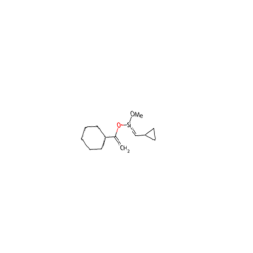 C=C(O[Si](=CC1CC1)OC)C1CCCCC1